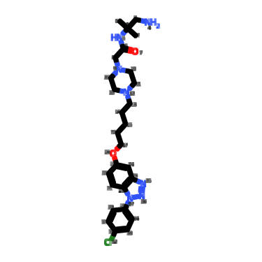 CC(C)(CN)NC(=O)CN1CCN(CCCCCOc2ccc3c(c2)nnn3-c2ccc(Cl)cc2)CC1